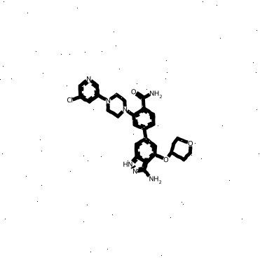 NC(=O)c1ccc(-c2cc(OC3CCOCC3)c3c(N)n[nH]c3c2)cc1N1CCN(c2cncc(Cl)c2)CC1